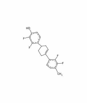 Cc1ccc(C2=CCC(c3ccc(O)c(F)c3F)CC2)c(F)c1F